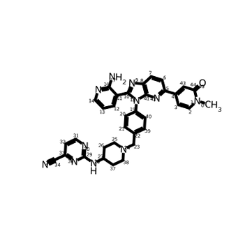 Cn1ccc(-c2ccc3nc(-c4cccnc4N)n(-c4ccc(CN5CCC(Nc6nccc(C#N)n6)CC5)cc4)c3n2)cc1=O